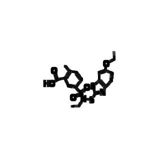 CCOc1ccc2nc(SN(CC)S(=O)(=O)c3ccc(C)c(C(=O)O)c3)sc2c1